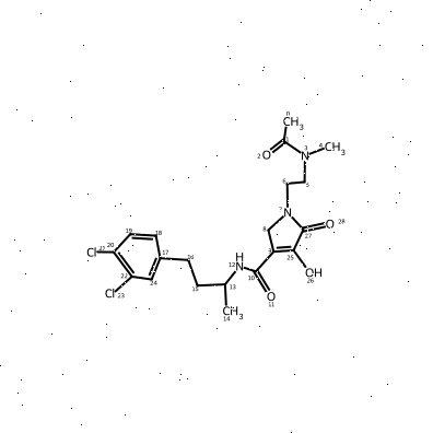 CC(=O)N(C)CCN1CC(C(=O)NC(C)CCc2ccc(Cl)c(Cl)c2)=C(O)C1=O